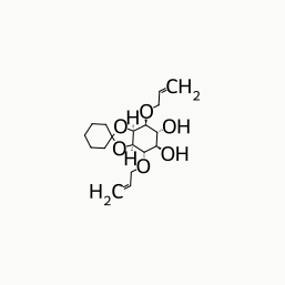 C=CCO[C@H]1[C@H](O)[C@@H](O)[C@H](OCC=C)[C@H]2OC3(CCCCC3)O[C@H]21